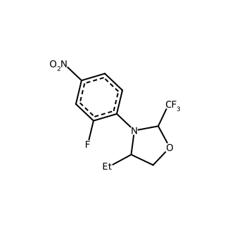 CCC1COC(C(F)(F)F)N1c1ccc([N+](=O)[O-])cc1F